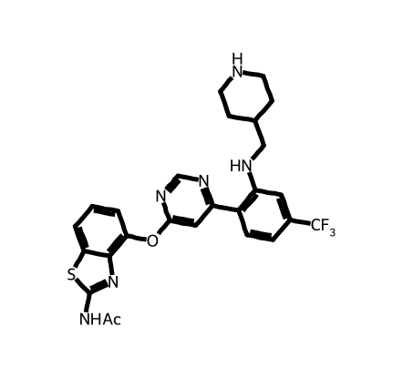 CC(=O)Nc1nc2c(Oc3cc(-c4ccc(C(F)(F)F)cc4NCC4CCNCC4)ncn3)cccc2s1